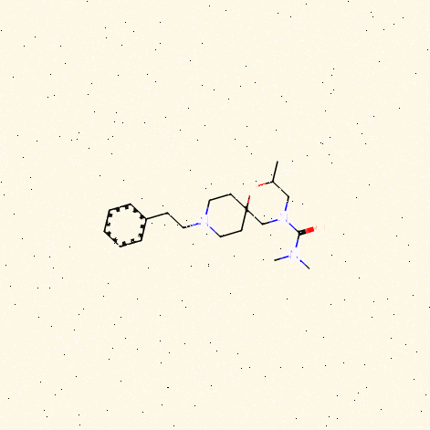 CC1CN(C(=O)N(C)C)CC2(CCN(CCc3ccccc3)CC2)O1